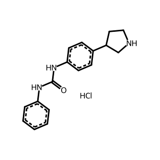 Cl.O=C(Nc1ccccc1)Nc1ccc(C2CCNC2)cc1